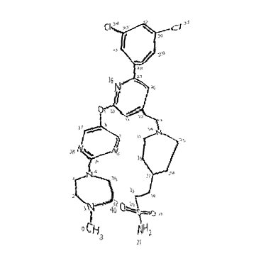 CN1CCN(c2ncc(Oc3cc(CN4CCC(CCS(N)(=O)=O)CC4)cc(-c4cc(Cl)cc(Cl)c4)n3)cn2)CC1